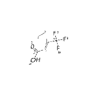 CC.O=C(O)C=CC(F)(F)F